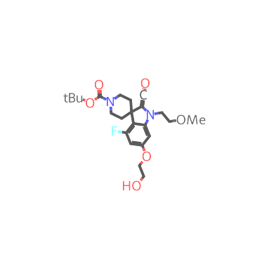 COCCN1C(=C=O)C2(CCN(C(=O)OC(C)(C)C)CC2)c2c(F)cc(OCCO)cc21